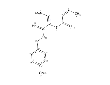 C=C(/C=C\C)S/C(=C/NC)C(=N)OCc1ccc(OC)cc1